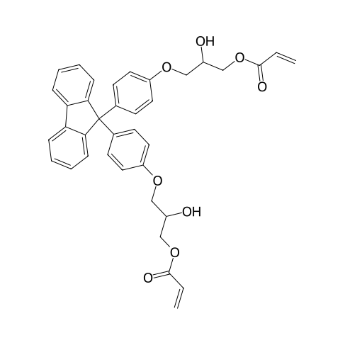 C=CC(=O)OCC(O)COc1ccc(C2(c3ccc(OCC(O)COC(=O)C=C)cc3)c3ccccc3-c3ccccc32)cc1